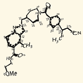 COCCNC(=O)c1ccc2nn(CC3CCN(C(=O)c4ccc(C(C)CC#N)cc4)CC3)cc2c1C